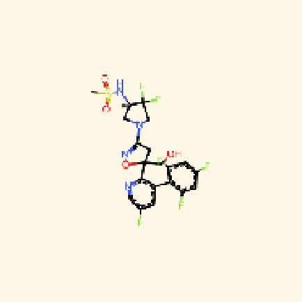 CS(=O)(=O)N[C@@H]1CN(C2=NOC(CO)(c3ncc(F)cc3-c3c(F)cc(F)cc3F)C2)CC1(F)F